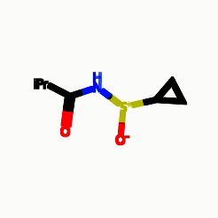 CC(C)C(=O)N[S+]([O-])C1CC1